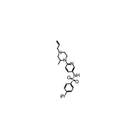 C=CCN1CCN(c2ccc(NS(=O)(=O)c3ccc(C(C)C)cc3)cn2)C(C)C1